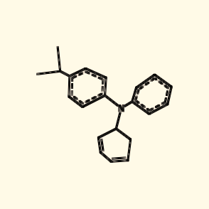 CC(C)c1ccc(N(c2ccccc2)C2C=CC=CC2)cc1